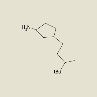 CC(CCC1CCC(N)C1)C(C)(C)C